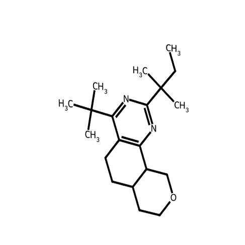 CCC(C)(C)c1nc2c(c(C(C)(C)C)n1)CCC1CCOCC21